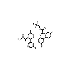 CC1CCC(c2cncc(F)c2)N(C(=O)C(=O)OCC(F)(F)F)C1.CC1CCC(c2cncc(F)c2)N(C(=O)C(N)=O)C1